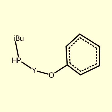 CCC(C)[PH][Y][O]c1ccccc1